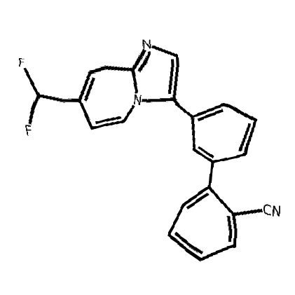 N#Cc1ccccc1-c1cccc(-c2cnc3cc(C(F)F)ccn23)c1